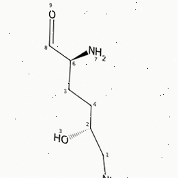 NC[C@H](O)CC[C@H](N)C=O